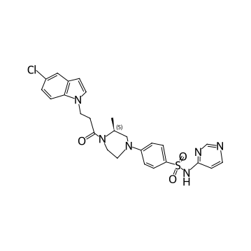 C[C@H]1CN(c2ccc(S(=O)(=O)Nc3ccncn3)cc2)CCN1C(=O)CCn1ccc2cc(Cl)ccc21